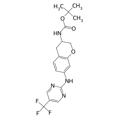 CC(C)(C)OC(=O)NC1COc2cc(Nc3ncc(C(F)(F)F)cn3)ccc2C1